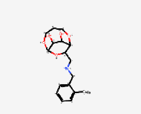 COc1ccccc1CNCC1OC2OCCCOC1C(O)C2O